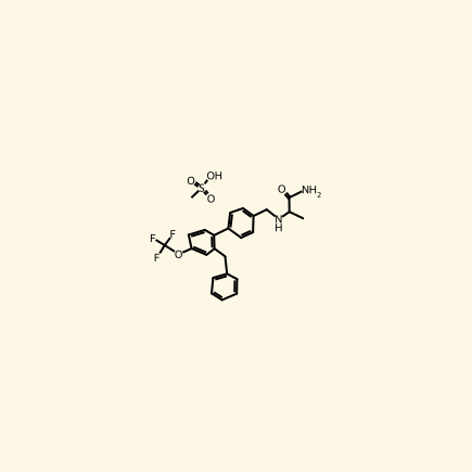 CC(NCc1ccc(-c2ccc(OC(F)(F)F)cc2Cc2ccccc2)cc1)C(N)=O.CS(=O)(=O)O